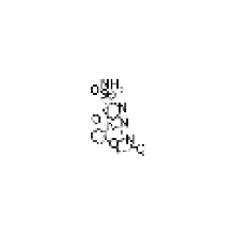 COc1cccc(-c2nc3ncc(CS(N)(=O)=O)nc3n2-c2c(OC)cccc2OC)n1